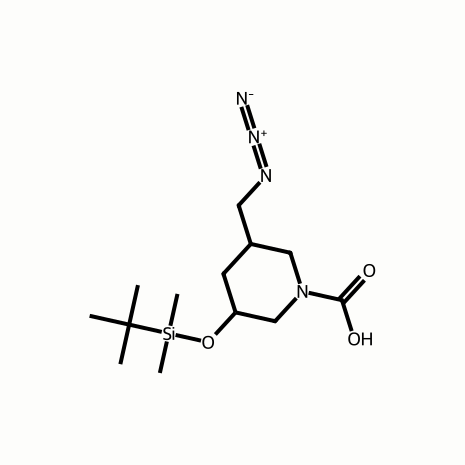 CC(C)(C)[Si](C)(C)OC1CC(CN=[N+]=[N-])CN(C(=O)O)C1